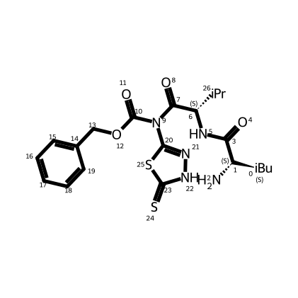 CC[C@H](C)[C@H](N)C(=O)N[C@H](C(=O)N(C(=O)OCc1ccccc1)c1n[nH]c(=S)s1)C(C)C